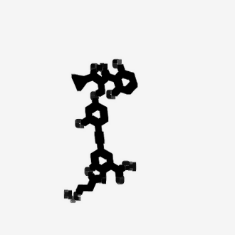 CCCc1nc2c(C(=O)O)cc(C#Cc3ccc(OCc4c(-c5c(Cl)cccc5Cl)noc4C4CC4)cc3Cl)cc2o1